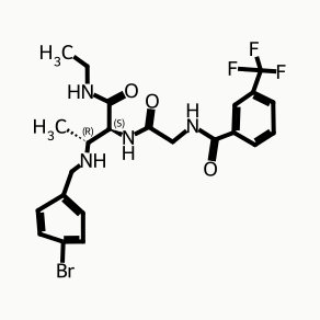 CCNC(=O)[C@@H](NC(=O)CNC(=O)c1cccc(C(F)(F)F)c1)[C@@H](C)NCc1ccc(Br)cc1